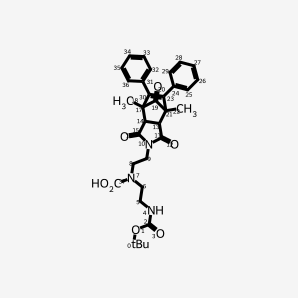 CC(C)(C)OC(=O)NCCN(CCN1C(=O)C2C(C1=O)C1(C)C(=O)C2(C)C(c2ccccc2)=C1c1ccccc1)C(=O)O